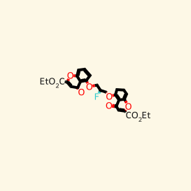 CCOC(=O)c1cc(=O)c2c(o1)=CCCC=2OCC(F)COc1cccc2oc(C(=O)OCC)cc(=O)c12